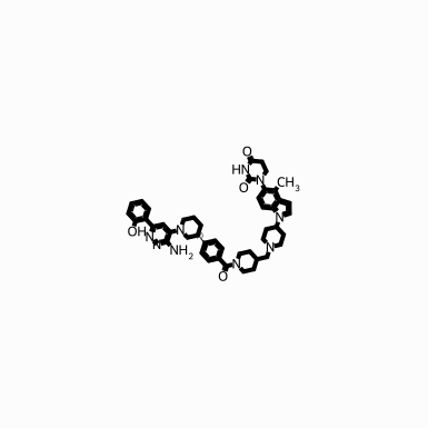 Cc1c(N2CCC(=O)NC2=O)ccc2c1ccn2C1CCN(CC2CCN(C(=O)c3ccc([C@H]4CCCN(c5cc(-c6ccccc6O)nnc5N)C4)cc3)CC2)CC1